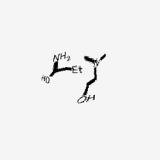 CCC(N)O.CN(C)CCO